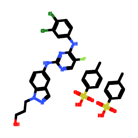 Cc1ccc(S(=O)(=O)O)cc1.Cc1ccc(S(=O)(=O)O)cc1.OCCCn1ncc2cc(Nc3ncc(F)c(Nc4ccc(Cl)c(Cl)c4)n3)ccc21